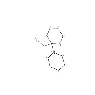 FCC1(N2CCCCC2)CCCCC1